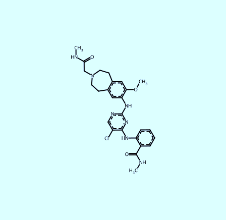 CNC(=O)CN1CCc2cc(Nc3ncc(Cl)c(Nc4ccccc4C(=O)NC)n3)c(OC)cc2CC1